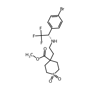 COC(=O)C1(CCN[C@@H](c2ccc(Br)cc2)C(F)(F)F)CCS(=O)(=O)CC1